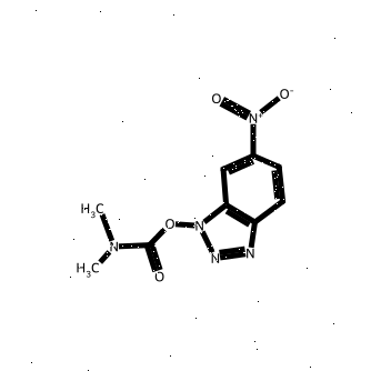 CN(C)C(=O)On1nnc2ccc([N+](=O)[O-])cc21